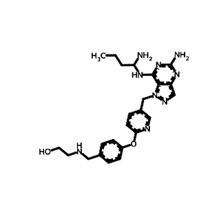 CCCC(N)Nc1nc(N)nc2cnn(Cc3ccc(Oc4ccc(CNCCO)cc4)nc3)c12